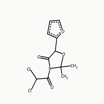 CC1(C)OC(c2ccco2)C(=O)N1C(=O)C(Cl)Cl